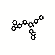 c1ccc(-c2ccc(-c3nc(-c4cccc(-c5ccc6c(c5)C5(CCCCC5)c5ccccc5-6)c4)nc(-c4ccc5c(c4)oc4ccccc45)n3)cc2)cc1